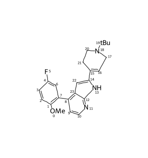 COc1ccc(F)cc1-c1ccnc2[nH]c(C3=CCN(C(C)(C)C)CC3)cc12